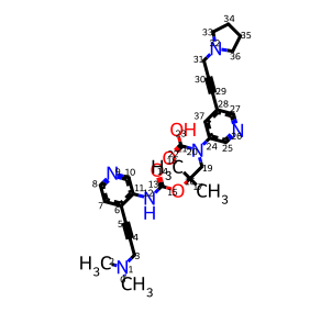 CN(C)CC#Cc1ccncc1NC(=O)OC(C)(C)CN(C(=O)O)c1cncc(C#CCN2CCCC2)c1